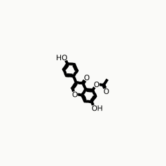 CC(=O)Oc1cc(O)cc2occ(-c3ccc(O)cc3)c(=O)c12